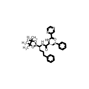 CC1(C)OB([C@H](CCCc2ccccc2)NC(=O)[C@@H](CSc2ccccc2)NC(=O)c2cnccn2)OC1(C)C